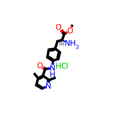 COC(=O)[C@@H](N)Cc1ccc(NC(=O)c2c(C)ccnc2C)cc1.Cl